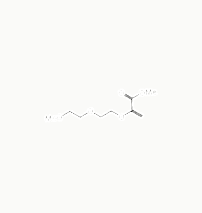 C=C(OCCOCCOC)C(=O)OC